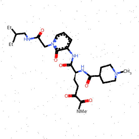 CCC(CC)CNC(=O)Cn1cccc(NC(=O)[C@H](CCC(=O)C(=O)NC)NC(=O)C2CCN(C)CC2)c1=O